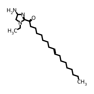 CCCCCCCCC=CCCCCCCCC(=O)C1=NC(N)CN1CC